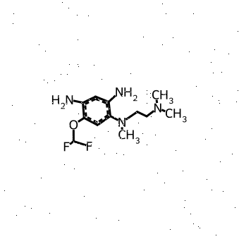 CN(C)CCN(C)c1cc(OC(F)F)c(N)cc1N